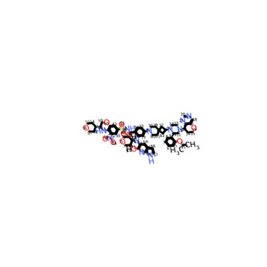 CC(C)Oc1ccccc1[C@@H]1CN([C@H]2CCOc3cncnc32)CCN1C1CC2(CCN(c3ccc(C(=O)NS(=O)(=O)c4cc5c(c([N+](=O)[O-])c4)N[C@H](C4CCOCC4)CO5)c(N4c5cc6cc[nH]c6nc5O[C@H]5COCC[C@@H]54)c3)CC2)C1